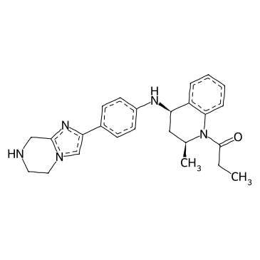 CCC(=O)N1c2ccccc2[C@H](Nc2ccc(-c3cn4c(n3)CNCC4)cc2)C[C@@H]1C